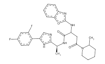 CC1CCCCN1C(=O)CC(Nc1nc2ccccc2o1)C(=O)N[C@@H](C)c1ncc(-c2ccc(F)cc2F)[nH]1